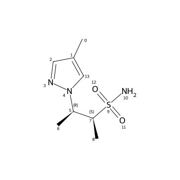 Cc1cnn([C@H](C)[C@H](C)S(N)(=O)=O)c1